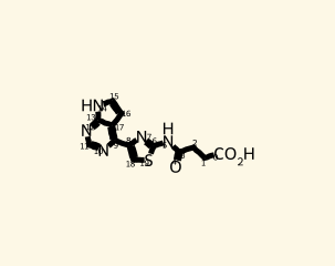 O=C(O)CCC(=O)Nc1nc(-c2ncnc3[nH]ccc23)cs1